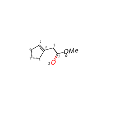 COC(=O)CC1=CCCC1